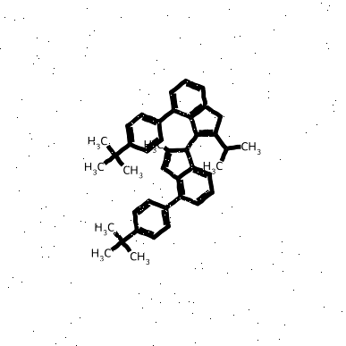 CC1=Cc2c(-c3ccc(C(C)(C)C)cc3)cccc2C1C1=C(C(C)C)[CH]c2cccc(-c3ccc(C(C)(C)C)cc3)c21